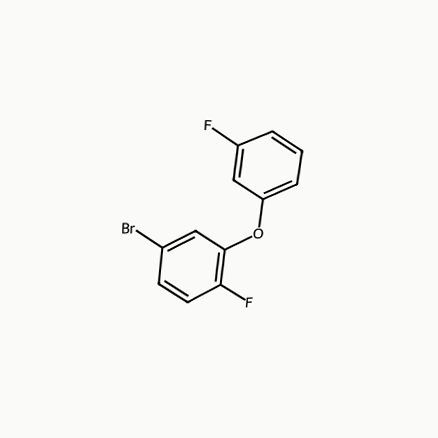 Fc1cccc(Oc2cc(Br)ccc2F)c1